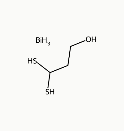 OCCC(S)S.[BiH3]